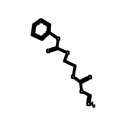 C=COC(=O)OCCOC(=O)Oc1ccccc1